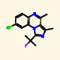 Cc1nc(C(C)(C)I)n2c1c(C)nc1ccc(Cl)cc12